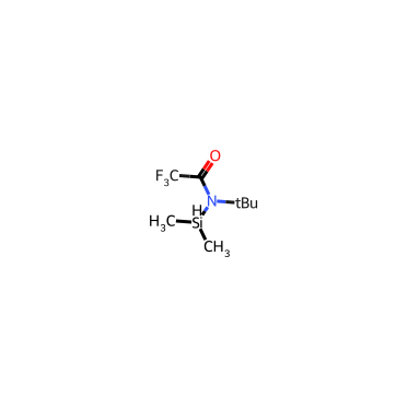 C[SiH](C)N(C(=O)C(F)(F)F)C(C)(C)C